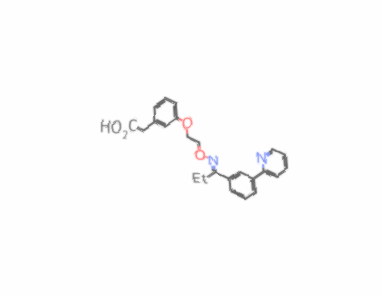 CC/C(=N\OCCOc1cccc(CC(=O)O)c1)c1cccc(-c2ccccn2)c1